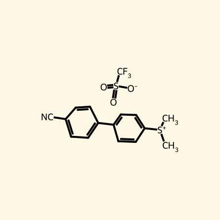 C[S+](C)c1ccc(-c2ccc(C#N)cc2)cc1.O=S(=O)([O-])C(F)(F)F